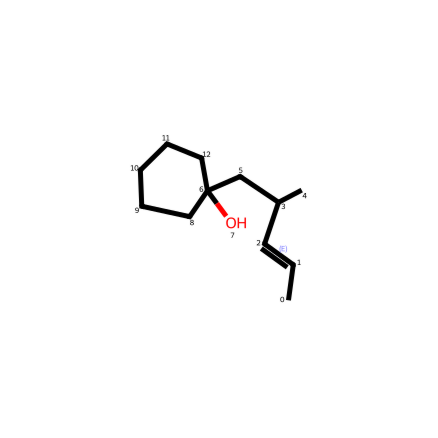 C/C=C/C(C)CC1(O)CCCCC1